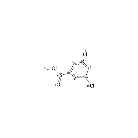 COS(=O)c1cc(Cl)cc(Cl)c1